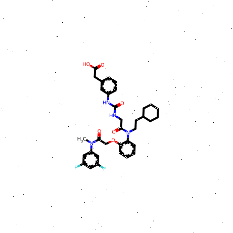 CN(C(=O)COc1ccccc1N(CCC1CCCCC1)C(=O)CNC(=O)Nc1cccc(CC(=O)O)c1)c1cc(F)cc(F)c1